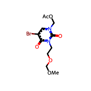 COCOCCn1c(=O)c(Br)cn(COC(C)=O)c1=O